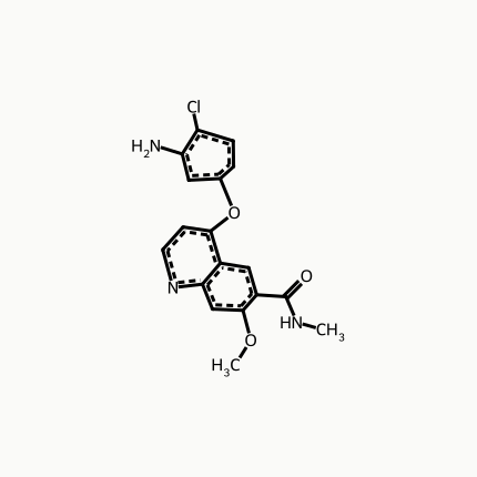 CNC(=O)c1cc2c(Oc3ccc(Cl)c(N)c3)ccnc2cc1OC